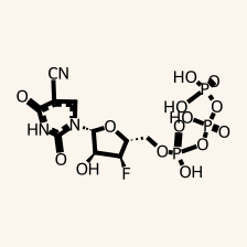 N#Cc1cn([C@@H]2O[C@H](COP(=O)(O)OP(=O)(O)OP(=O)(O)O)[C@@H](F)[C@H]2O)c(=O)[nH]c1=O